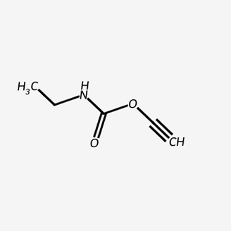 C#COC(=O)NCC